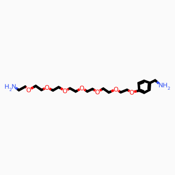 NCCOCCOCCOCCOCCOCCOCCOc1ccc(CN)cc1